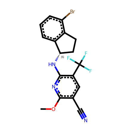 COc1nc(N[C@H]2CCc3c(Br)cccc32)c(C(F)(F)F)cc1C#N